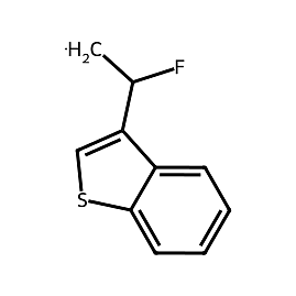 [CH2]C(F)c1csc2ccccc12